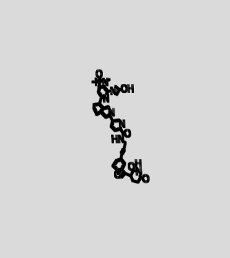 Cn1c(=O)n(C)c2c(N3CC(O)C3)nc(-c3cccc4cc(-c5ccc(C(=O)NCC#Cc6ccc7occ(C8CCC(=O)NC8=O)c7c6)nc5)ncc34)cc21